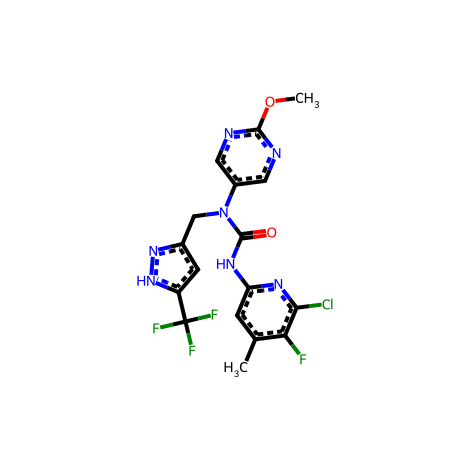 COc1ncc(N(Cc2cc(C(F)(F)F)[nH]n2)C(=O)Nc2cc(C)c(F)c(Cl)n2)cn1